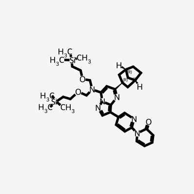 C[Si](C)(C)CCOCN(COCC[Si](C)(C)C)c1cc([C@H]2C[C@@H]3CC[C@@H](C3)C2)nc2c(-c3ccc(-n4ccccc4=O)nc3)cnn12